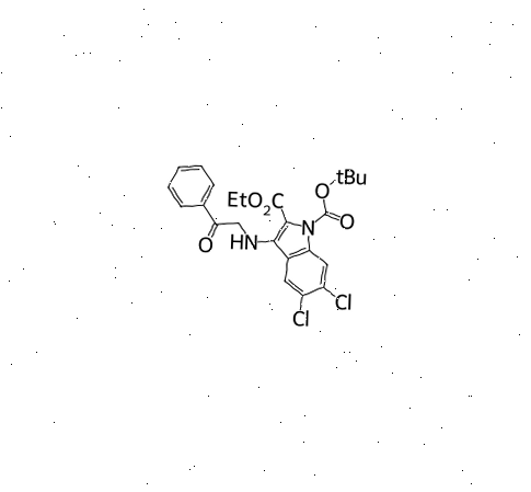 CCOC(=O)c1c(NCC(=O)c2ccccc2)c2cc(Cl)c(Cl)cc2n1C(=O)OC(C)(C)C